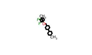 CC1CCC(C2CCC(COC34CCC(C)(CC3)C(F)=C4F)CC2)CC1